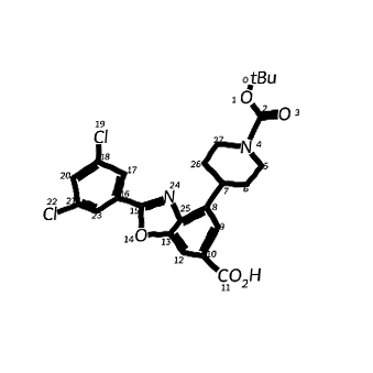 CC(C)(C)OC(=O)N1CCC(c2cc(C(=O)O)cc3oc(-c4cc(Cl)cc(Cl)c4)nc23)CC1